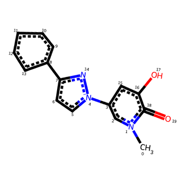 Cn1cc(-n2ccc(-c3ccccc3)n2)cc(O)c1=O